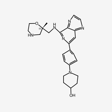 C[C@@]1(CNc2nc(-c3ccc(N4CCC(O)CC4)cc3)cc3nccnc23)CNCCO1